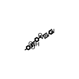 Cc1ccc(S(=O)(=O)NCc2ccc(C(=O)CN3CCN(c4ccncc4)CC3)cc2)cc1